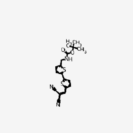 CC(C)(C)OC(=O)NCc1ccc(-c2ccc(C=C(C#N)C#N)s2)s1